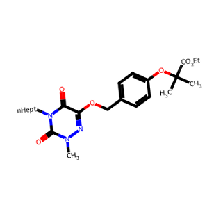 CCCCCCCn1c(=O)c(OCc2ccc(OC(C)(C)C(=O)OCC)cc2)nn(C)c1=O